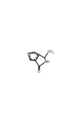 CC1NC(=O)c2cscc21